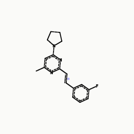 Cc1cc(N2CCCC2)nc(/C=C/c2cccc(F)c2)n1